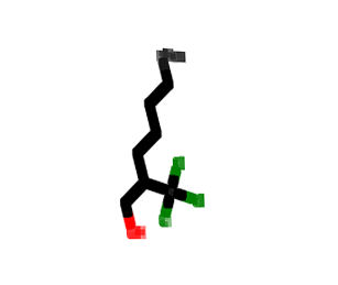 CCCCCCCCCCC(CO)[Si](Cl)(Cl)Cl